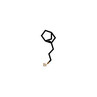 BrCCCC1=C2CCC(C1)C2